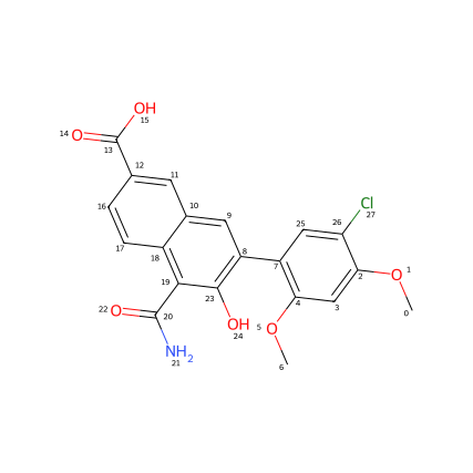 COc1cc(OC)c(-c2cc3cc(C(=O)O)ccc3c(C(N)=O)c2O)cc1Cl